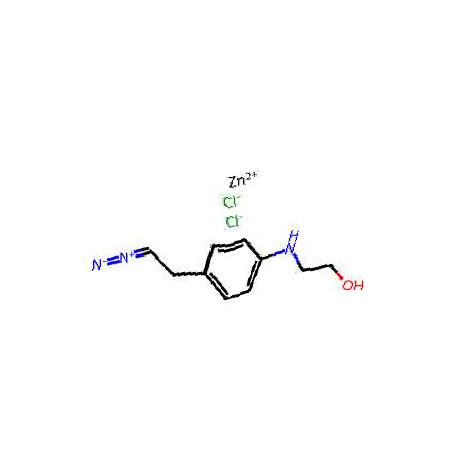 [Cl-].[Cl-].[N-]=[N+]=CCc1ccc(NCCO)cc1.[Zn+2]